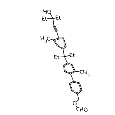 CCC(O)(C#Cc1ccc(C(CC)(CC)c2ccc(-c3ccc(COC=O)cc3)c(C)c2)cc1C)CC